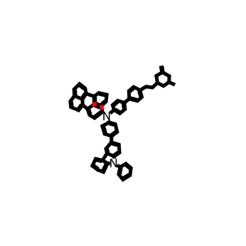 C=C1CC(C)CC(CCc2ccc(-c3ccc(N(c4ccc(-c5ccc6c(c5)c5ccccc5n6-c5ccccc5)cc4)c4ccc(-c5cccc6cccc(-c7ccccc7)c56)cc4)cc3)cc2)C1